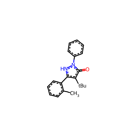 Cc1ccccc1-c1[nH]n(-c2ccccc2)c(=O)c1C(C)(C)C